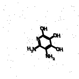 Nc1nc(O)c(O)c(O)c1N